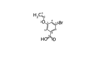 C=COc1cc(Br)cc(C(=O)O)c1